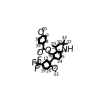 COc1ccc(C(=O)OCc2c(-c3cc(C(F)(F)F)ccc3OC)ccc3c2C(C)=CC(C)(C)N3)cc1